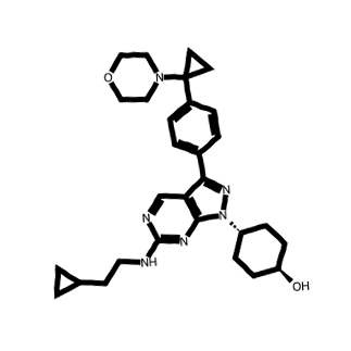 O[C@H]1CC[C@H](n2nc(-c3ccc(C4(N5CCOCC5)CC4)cc3)c3cnc(NCCC4CC4)nc32)CC1